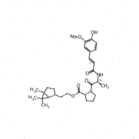 COc1cc(/C=C/C(=O)N[C@@H](C)C(=O)N2CCCC2C(=O)OCCC2CCC3(C)C2C3(C)C)ccc1O